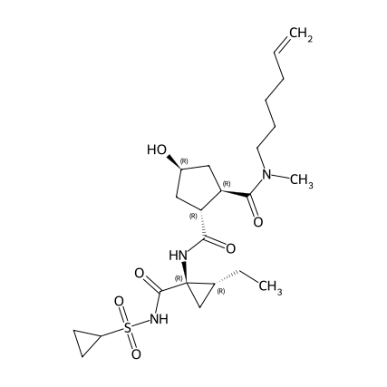 C=CCCCCN(C)C(=O)[C@@H]1C[C@H](O)C[C@H]1C(=O)N[C@]1(C(=O)NS(=O)(=O)C2CC2)C[C@H]1CC